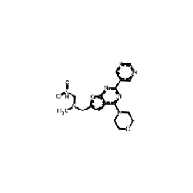 CN(Cc1cc2c(N3CCOCC3)nc(-c3cncnc3)nc2s1)C[SH](=O)=O